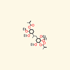 C=C(C)C(=O)Oc1ccc(C(C)Cc2cc(OCC)c(OC(=O)C(=C)C)c(OCC)c2OCC)c(OCC)c1OCC